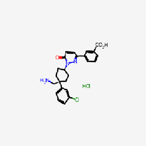 Cl.NC[C@]1(c2cccc(Cl)c2)CC[C@H](n2nc(-c3cccc(C(=O)O)c3)ccc2=O)CC1